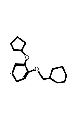 [CH]1C=C(OC2CCCC2)C(OCC2CCCCC2)=CC1